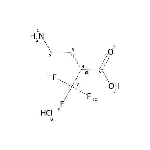 Cl.NCC[C@H](C(=O)O)C(F)(F)F